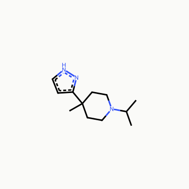 CC(C)N1CCC(C)(c2cc[nH]n2)CC1